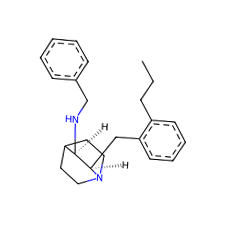 CCCc1ccccc1C[C@@H]1[C@H](NCc2ccccc2)C2CCN1CC2